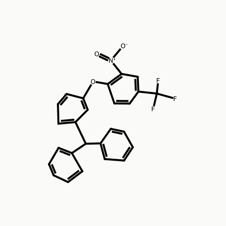 O=[N+]([O-])c1cc(C(F)(F)F)ccc1Oc1[c]ccc(C(c2ccccc2)c2ccccc2)c1